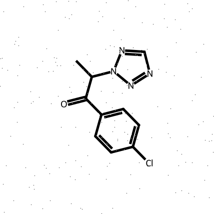 CC(C(=O)c1ccc(Cl)cc1)n1ncnn1